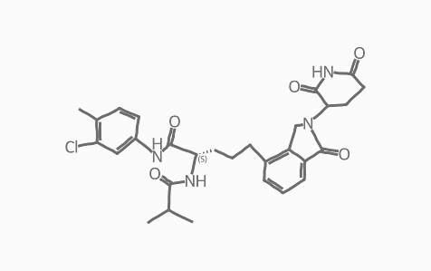 Cc1ccc(NC(=O)[C@H](CCCc2cccc3c2CN(C2CCC(=O)NC2=O)C3=O)NC(=O)C(C)C)cc1Cl